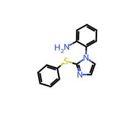 Nc1ccccc1-n1ccnc1Sc1ccccc1